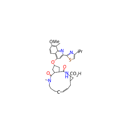 COc1ccc2c(OC3CC4C(=O)NC5(C(=O)O)CC5C/C=C\CCCCN(C)C(=O)C4C3)cc(-c3nc(C(C)C)cs3)nc2c1C